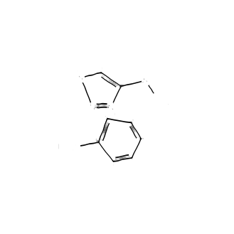 O=C(O)Nc1c[nH]nn1.O=S(=O)(O)c1ccccc1